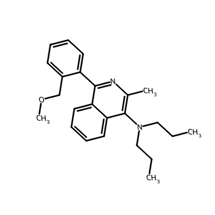 CCCN(CCC)c1c(C)nc(-c2ccccc2COC)c2ccccc12